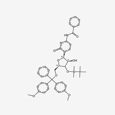 COc1ccc(C(OC[C@H]2O[C@@H](n3ccc(NC(=O)c4ccccc4)nc3=O)[C@@H](O)C2O[Si](C)(C)C(C)(C)C)(c2ccccc2)c2ccc(OC)cc2)cc1